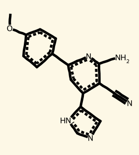 COc1ccc(-c2cc(-c3cnc[nH]3)c(C#N)c(N)n2)cc1